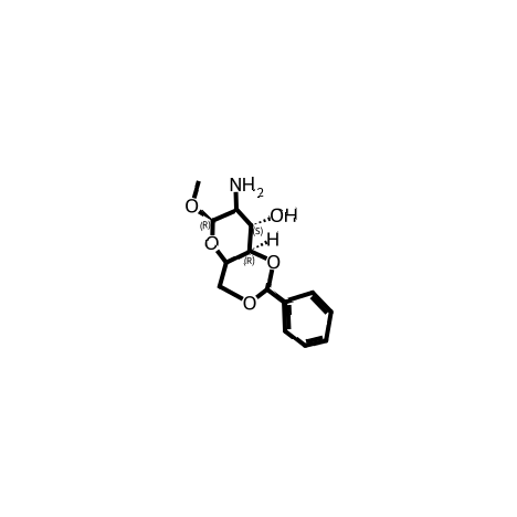 CO[C@@H]1OC2COC(c3ccccc3)O[C@@H]2[C@@H](O)C1N